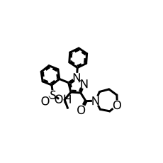 CCc1c(C(=O)N2CCCOCC2)nn(-c2ccccc2)c1-c1ccccc1S(=O)O